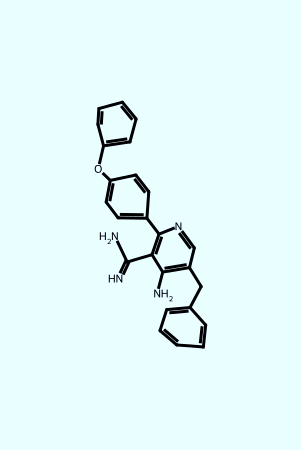 N=C(N)c1c(-c2ccc(Oc3ccccc3)cc2)ncc(Cc2ccccc2)c1N